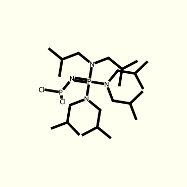 CC(C)CN(CC(C)C)P(=NP(Cl)Cl)(N(CC(C)C)CC(C)C)N(CC(C)C)CC(C)C